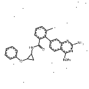 CNc1nc(N)nc2cc(-c3c(C)cccc3C(=O)NC3CC3Oc3ccccc3)ccc12